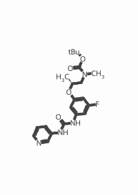 C[C@H](CN(C)C(=O)OC(C)(C)C)Oc1cc(F)cc(NC(=O)Nc2cccnc2)c1